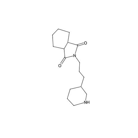 O=C1C2CCCCC2C(=O)N1CCCC1CCCNC1